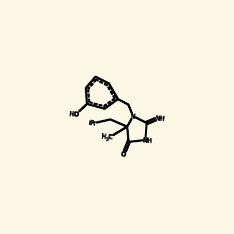 CC(C)CC1(C)C(=O)NC(=N)N1Cc1cccc(O)c1